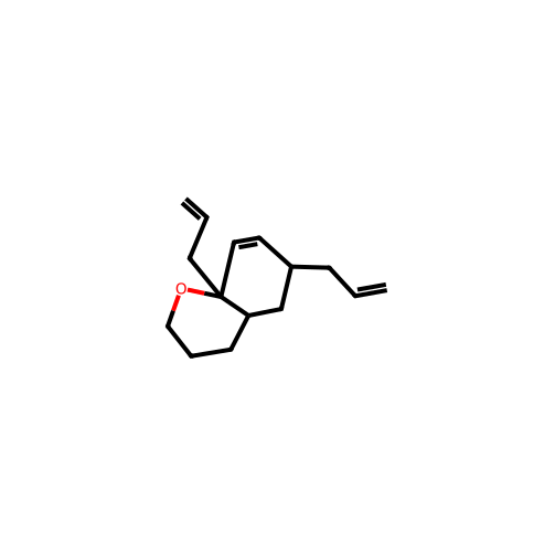 C=CCC1C=CC2(CC=C)OCCCC2C1